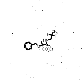 CCOC(=O)[C@@](C)(OCc1ccccc1)C(=O)NCC(F)(F)C(F)(F)F